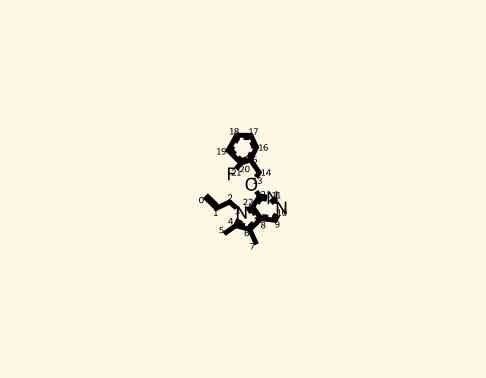 C=CCn1c(C)c(C)c2cnnc(OCc3ccccc3F)c21